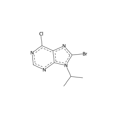 CC(C)n1c(Br)nc2c(Cl)ncnc21